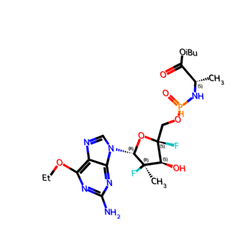 CCOc1nc(N)nc2c1ncn2[C@@H]1O[C@](F)(CO[PH](=O)N[C@@H](C)C(=O)OCC(C)C)[C@@H](O)[C@@]1(C)F